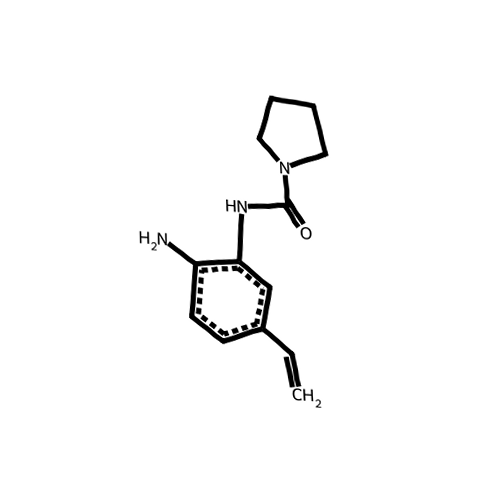 C=Cc1ccc(N)c(NC(=O)N2CCCC2)c1